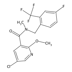 COc1ncc(Cl)cc1C(=O)N(C)Cc1ccc(F)cc1C(F)(F)F